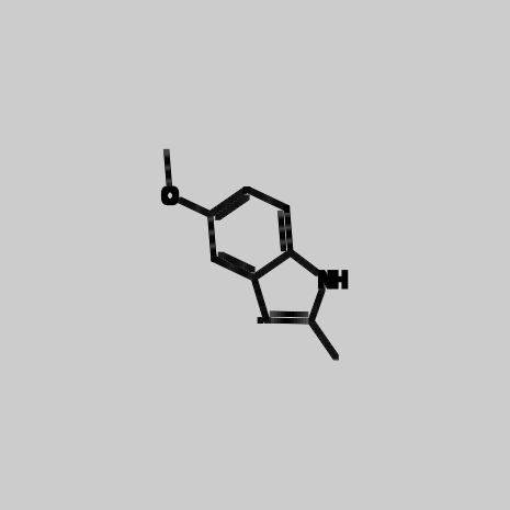 COc1ccc2[nH]c(C)[c]c2c1